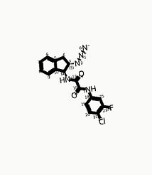 [N-]=[N+]=N[C@H]1Cc2ccccc2[C@@H]1NC(=O)C(=O)Nc1ccc(Cl)c(F)c1